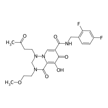 COCCN1CN(CCC(C)=O)n2cc(C(=O)NCc3ccc(F)cc3F)c(=O)c(O)c2C1=O